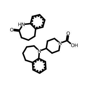 O=C(O)N1CCC(N2CCCCc3ccccc32)CC1.O=C1CCCc2ccccc2N1